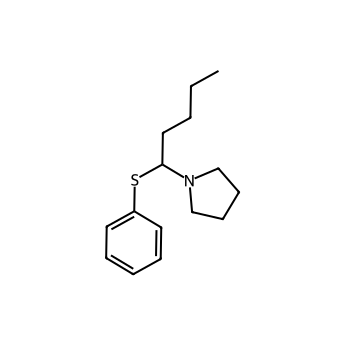 CCCCC(Sc1ccccc1)N1CCCC1